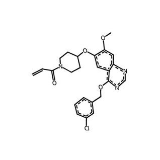 C=CC(=O)N1CCC(Oc2cc3c(OCc4cccc(Cl)c4)ncnc3cc2OC)CC1